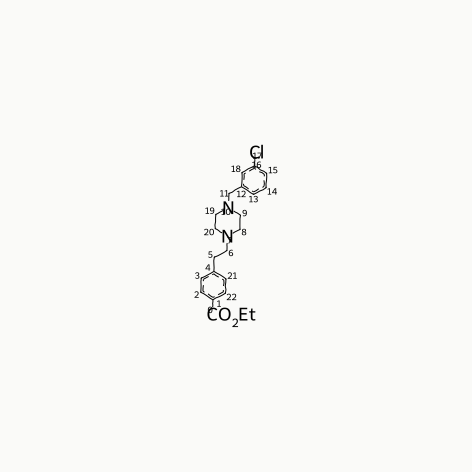 CCOC(=O)c1ccc(CCN2CCN(Cc3cccc(Cl)c3)CC2)cc1